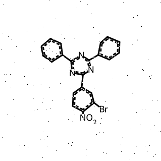 O=[N+]([O-])c1ccc(-c2nc(-c3ccccc3)nc(-c3ccccc3)n2)cc1Br